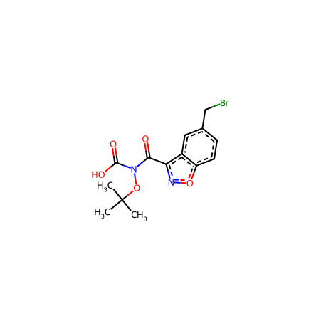 CC(C)(C)ON(C(=O)O)C(=O)c1noc2ccc(CBr)cc12